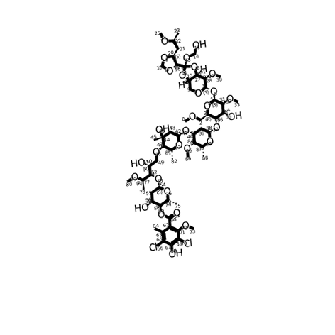 COC[C@H]1O[C@@H](O[C@@H]2OC[C@@H]3O[C@](OCO)([C@@H]4OCO[C@H]4C[C@H](C)OC)O[C@H]3[C@H]2OC)[C@@H](OC)[C@@H](O)[C@@H]1O[C@H]1C[C@@H](O[C@H]2C[C@@](C)(O)[C@H](OC[C@@H](O)[C@H](O[C@H]3C[C@@H](O)[C@H](OC(=O)c4c(C)c(Cl)c(O)c(Cl)c4OC)[C@@H](C)O3)[C@@H](C)OC)[C@@H](C)O2)[C@@H](OC)[C@@H](C)O1